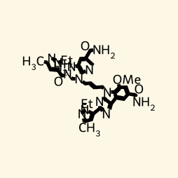 CCn1nc(C)cc1C(=O)NCN(C/C=C/Cn1c2nc(-c3cc(C)nn3CC)ncc2c2cc(C(N)=O)cc(OC)c21)c1ncc(C(N)=O)cc1N